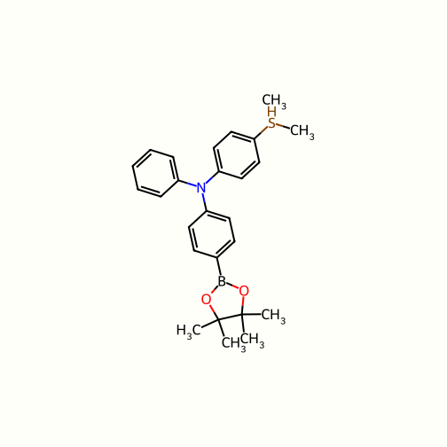 C[SH](C)c1ccc(N(c2ccccc2)c2ccc(B3OC(C)(C)C(C)(C)O3)cc2)cc1